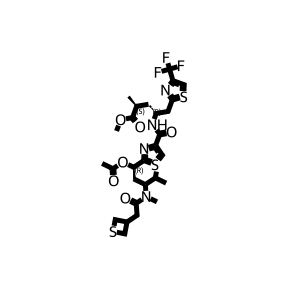 COC(=O)[C@@H](C)C[C@H](Cc1nc(C(F)(F)F)cs1)NC(=O)c1csc([C@@H](CC(C(C)C)N(C)C(=O)CC2CSC2)OC(C)=O)n1